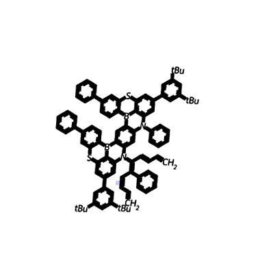 C=CC=CC(=C(/C=C\C=C)c1ccccc1)N1c2cc3c(cc2B2c4ccc(-c5ccccc5)cc4Sc4cc(-c5cc(C(C)(C)C)cc(C(C)(C)C)c5)cc1c42)B1c2ccc(-c4ccccc4)cc2Sc2cc(-c4cc(C(C)(C)C)cc(C(C)(C)C)c4)cc(c21)N3c1ccccc1